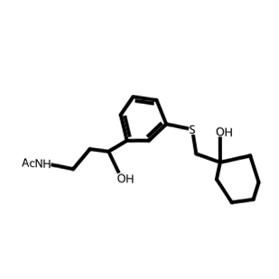 CC(=O)NCCC(O)c1cccc(SCC2(O)CCCCC2)c1